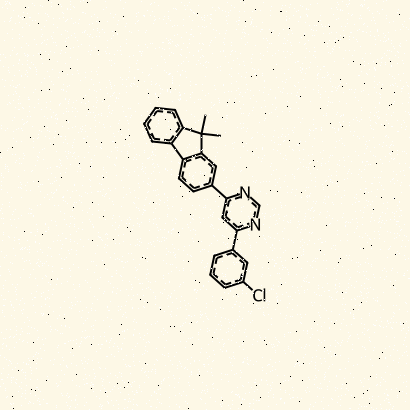 CC1(C)c2ccccc2-c2ccc(-c3cc(-c4cccc(Cl)c4)ncn3)cc21